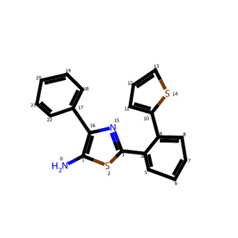 Nc1sc(-c2ccccc2-c2cccs2)nc1-c1ccccc1